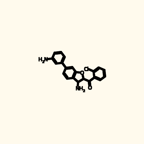 Nc1cccc(-c2ccc3c(c2)OC(C(=O)c2ccccc2Cl)C3N)c1